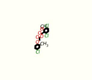 COc1c(Cl)ccc(Cl)c1C(=O)OC(=O)COc1ccc(Cl)cc1C